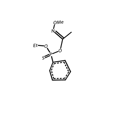 CCOP(=S)(OC(C)=NOC)c1ccccc1